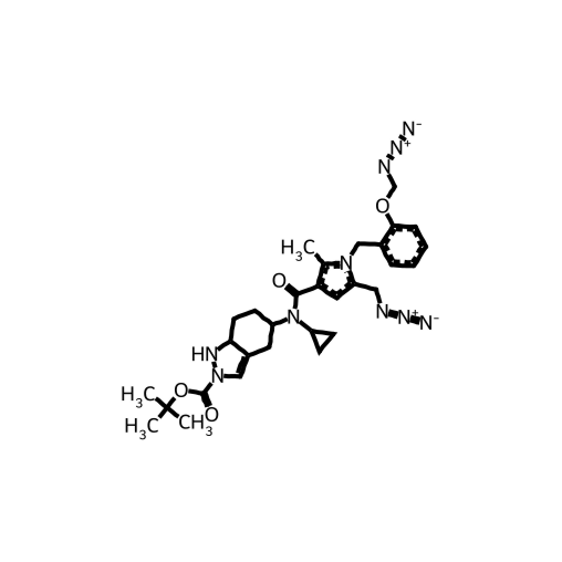 Cc1c(C(=O)N(C2CC2)C2CCC3NN(C(=O)OC(C)(C)C)C=C3C2)cc(CN=[N+]=[N-])n1Cc1ccccc1OCN=[N+]=[N-]